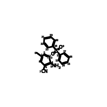 Cc1cnc(N)c(C#N)c1.O=S(=O)(c1ccccc1)c1ccccc1